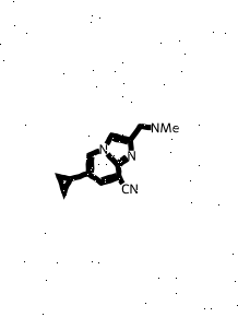 CNCc1cn2cc(C3CC3)cc(C#N)c2n1